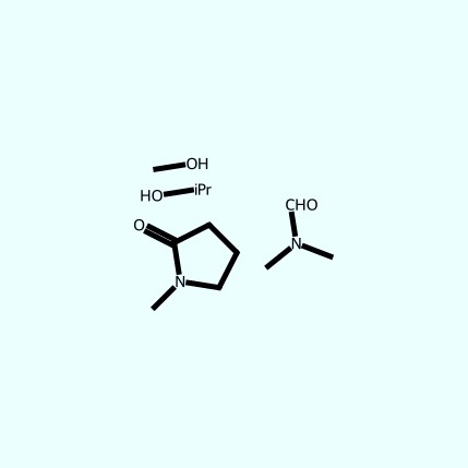 CC(C)O.CN(C)C=O.CN1CCCC1=O.CO